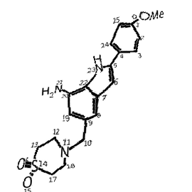 COc1ccc(-c2cc3cc(CN4CCS(=O)(=O)CC4)cc(N)c3[nH]2)cc1